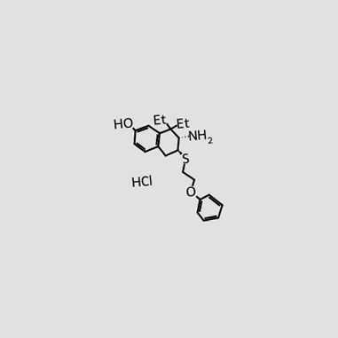 CCC1(CC)c2cc(O)ccc2C[C@H](SCCOc2ccccc2)[C@H]1N.Cl